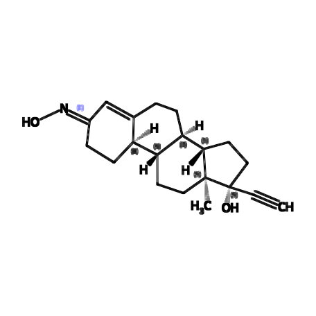 C#C[C@]1(O)CC[C@H]2[C@@H]3CCC4=C/C(=N/O)CC[C@@H]4[C@H]3CC[C@@]21C